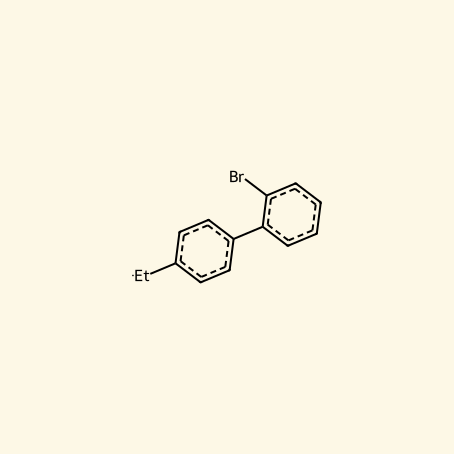 C[CH]c1ccc(-c2ccccc2Br)cc1